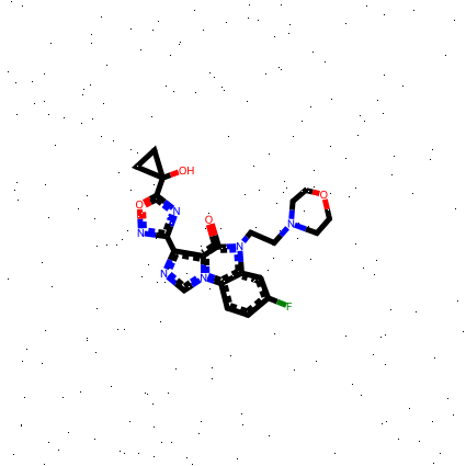 O=c1c2c(-c3noc(C4(O)CC4)n3)ncn2c2ccc(F)cc2n1CCN1CCOCC1